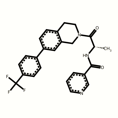 C[C@H](NC(=O)c1cccnc1)C(=O)N1CCc2ccc(-c3ccc(C(F)(F)F)cc3)cc2C1